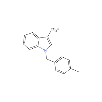 Cc1ccc(Cn2cc(C(=O)O)c3ccccc32)cc1